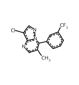 Cc1cnc2c(Cl)cnn2c1-c1cccc(C(F)(F)F)c1